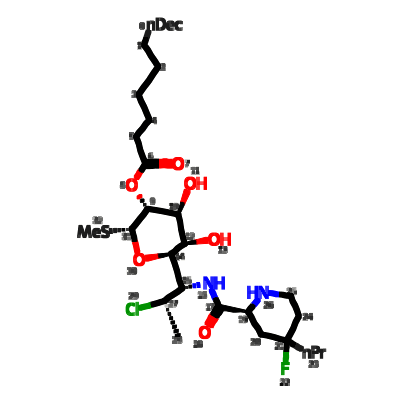 CCCCCCCCCCCCCCCC(=O)O[C@@H]1[C@@H](O)[C@@H](O)[C@@H]([C@H](NC(=O)[C@@H]2CC(F)(CCC)CCN2)[C@H](C)Cl)O[C@@H]1SC